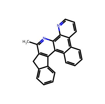 Cc1nc2c3ncccc3c3ccccc3c2c2c1Cc1ccccc1-2